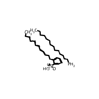 CCCCCCCCCCCCCCP.CCCCCCCCCCCCc1ccccc1S(=O)(=O)O